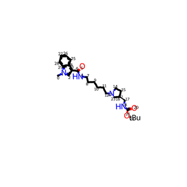 Cn1cc(C(=O)NCCCCCCN2CC[C@@H](CNC(=O)OC(C)(C)C)C2)c2ccccc21